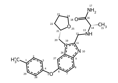 Cc1ccc(Oc2ccc3nc(CN[C@@H](C)C(N)=O)n(C[C@@H]4CCCO4)c3c2)cc1